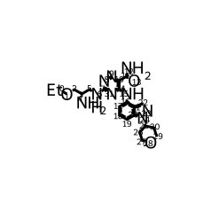 CCOC[C@H](N)CNc1nnc(C(N)=O)c(Nc2cccc3c2cnn3C2CCOCC2)n1